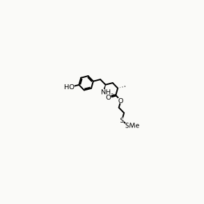 CSSCCOC(=O)[C@@H](C)C[C@@H](N)Cc1ccc(O)cc1